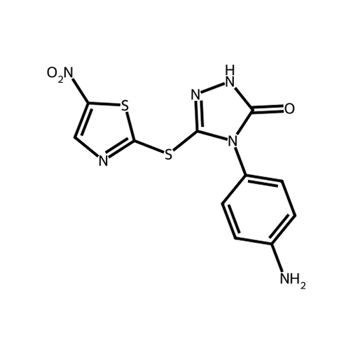 Nc1ccc(-n2c(Sc3ncc([N+](=O)[O-])s3)n[nH]c2=O)cc1